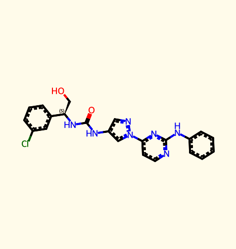 O=C(Nc1cnn(-c2ccnc(Nc3ccccc3)n2)c1)N[C@H](CO)c1cccc(Cl)c1